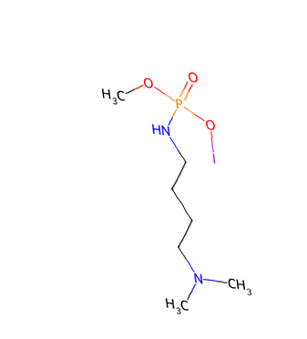 COP(=O)(NCCCCN(C)C)OI